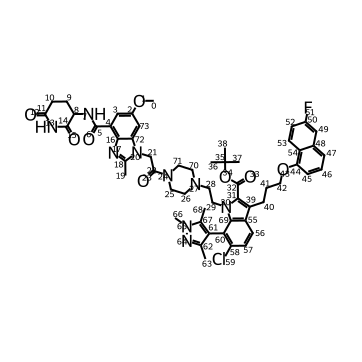 COc1cc(C(=O)NC2CCC(=O)NC2=O)c2nc(C)n(CC(=O)N3CCN(CCn4c(C(=O)OC(C)(C)C)c(CCCOc5cccc6cc(F)ccc56)c5ccc(Cl)c(-c6c(C)nn(C)c6C)c54)CC3)c2c1